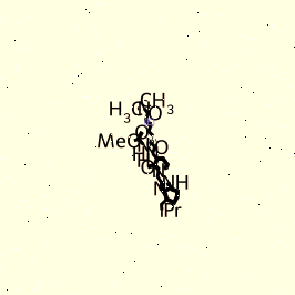 COC(=O)N[C@H](CC/C=C/C(=O)N(C)C)C(=O)Nc1cccn(Cc2nc3c(CC(C)C)cccc3[nH]2)c1=O